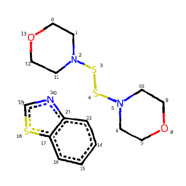 C1CN(SSN2CCOCC2)CCO1.c1ccc2scnc2c1